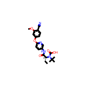 CC[C@H](C(=O)Nc1ccc(Oc2ccc(C#N)c(OC)c2)nc1)N(C(=O)O)C(C)(C)C